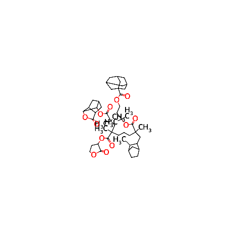 CC1C2CCC(C2)C1CC(C)(CCCC(C)(CC(C)(C)C(=O)OC1C2CC3C(=O)OC1C3C2)C(=O)OC1CCOC1=O)C(=O)OC(C)(C)CCOC(=O)C12CC3CC(CC(C3)C1)C2